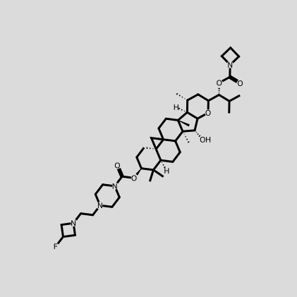 CC(C)[C@@H](OC(=O)N1CCC1)C1C[C@@H](C)[C@H]2C(O1)[C@H](O)[C@@]1(C)C3CC[C@H]4C(C)(C)[C@@H](OC(=O)N5CCN(CCN6CC(F)C6)CC5)CC[C@@]45CC35CC[C@]21C